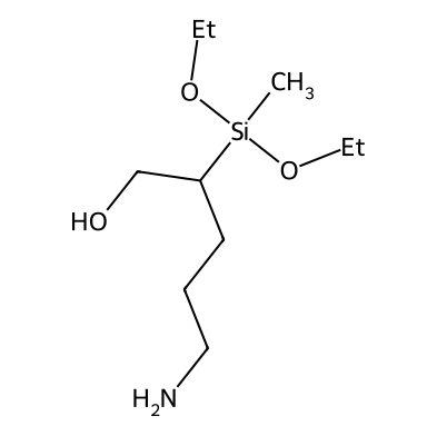 CCO[Si](C)(OCC)C(CO)CCCN